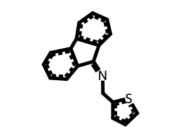 c1csc(CN=C2c3ccccc3-c3ccccc32)c1